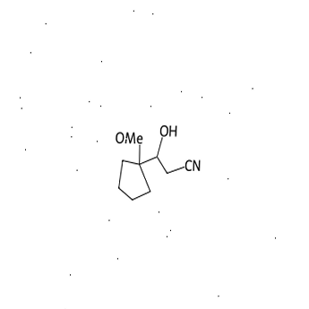 COC1(C(O)CC#N)CCCC1